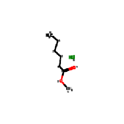 CCCCCC(=O)OC.Cl